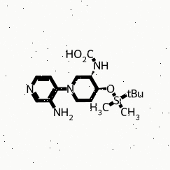 CC(C)(C)[Si](C)(C)O[C@H]1CCN(c2ccncc2N)C[C@@H]1NC(=O)O